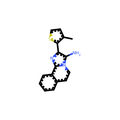 Cc1ccsc1-c1nc2c3ccccc3ccn2c1N